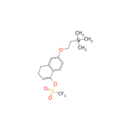 C[Si](C)(C)CCOc1ccc2c(c1)CCC=C2OS(=O)(=O)C(F)(F)F